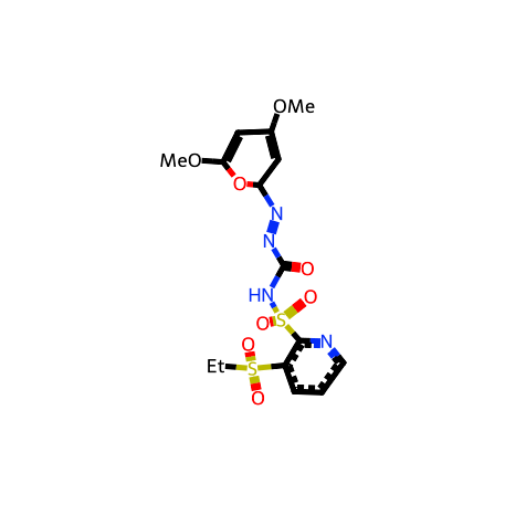 CCS(=O)(=O)c1cccnc1S(=O)(=O)NC(=O)N=NC1C=C(OC)C=C(OC)O1